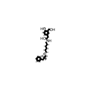 OCc1cc(CC(O)NCCCCCCOCC(F)(F)Cc2ccccc2)ccc1O